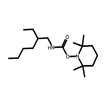 CCCCC(CC)CNC(=O)ON1C(C)(C)CCCC1(C)C